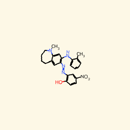 Cc1ccccc1Nc1cc2c(cc1N=Nc1cc([N+](=O)[O-])ccc1O)CCCCN2C